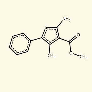 COC(=O)c1c(N)sc(-c2ccccc2)c1C